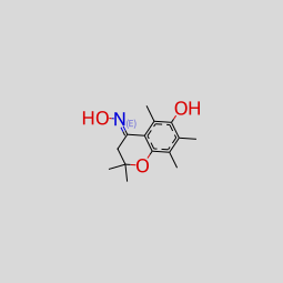 Cc1c(C)c2c(c(C)c1O)/C(=N/O)CC(C)(C)O2